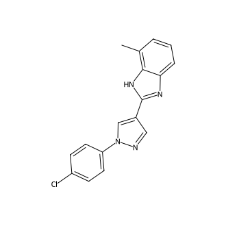 Cc1cccc2nc(-c3cnn(-c4ccc(Cl)cc4)c3)[nH]c12